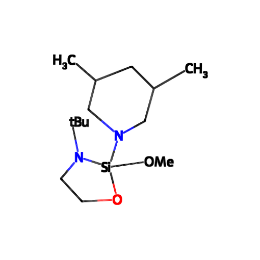 CO[Si]1(N2CC(C)CC(C)C2)OCCN1C(C)(C)C